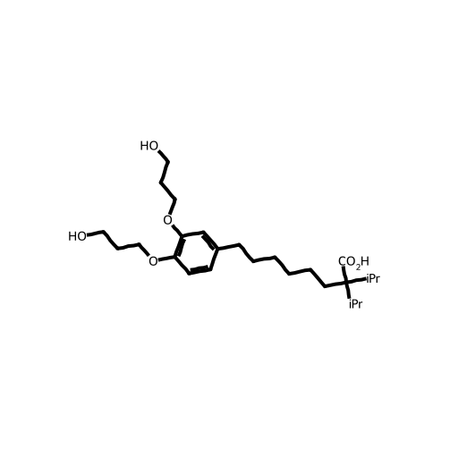 CC(C)C(CCCCCCc1ccc(OCCCO)c(OCCCO)c1)(C(=O)O)C(C)C